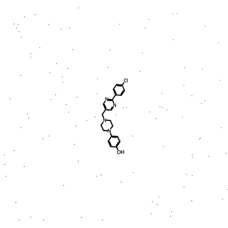 Oc1ccc(N2CCN(Cc3cnc(-c4ccc(Cl)cc4)nc3)CC2)cc1